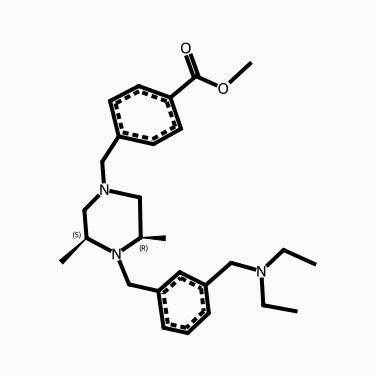 CCN(CC)Cc1cccc(CN2[C@H](C)CN(Cc3ccc(C(=O)OC)cc3)C[C@@H]2C)c1